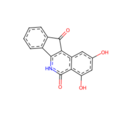 O=C1c2ccccc2-c2[nH]c(=O)c3c(O)cc(O)cc3c21